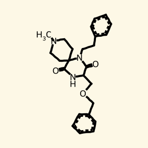 CN1CCC2(CC1)C(=O)NC(COCc1ccccc1)C(=O)N2CCc1ccccc1